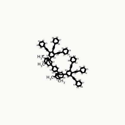 CC12CC3(C)CC(c4ccc(C56CC7(C)CC(C)(C5)CC(c5cc(C#Cc8ccccc8)c(C#Cc8ccccc8)c(C#Cc8ccccc8)c5)(C7)C6)cc4)(C1)CC(c1cc(C#Cc4ccccc4)c(C#Cc4ccccc4)c(C#Cc4ccccc4)c1)(C2)C3